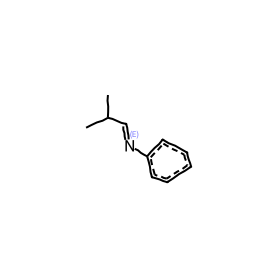 CC(C)/C=N/c1ccccc1